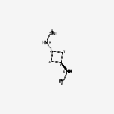 CC(C)N[C@H]1C[C@H](NC(C)(C)C)C1